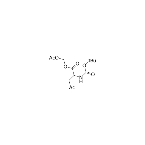 CC(=O)CC(NC(=O)OC(C)(C)C)C(=O)OCOC(C)=O